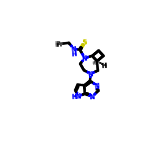 CC(C)CNC(=S)N1CCN(c2ncnc3[nH]ccc23)C[C@@H]2CCC21